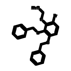 COCOc1c(Br)ccc(OCc2ccccc2)c1OCc1ccccc1